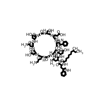 CCC(C)CCCCCCC(=O)NC(Cc1c[nH]c2ccccc12)C(=O)NC(CC(N)=O)C(=O)NC(CC(=O)O)C(=O)NC1C(=O)NCC(=O)NC(CCCN)C(=O)NC(CC(=O)O)C(=O)NC(CC(N)=O)C(=O)NC(CC(=O)O)C(=O)NCC(=O)NC(CO)C(=O)NC(CCC(=O)O)C(=O)NC(CC(=O)c2ccccc2N)C(=O)OC1C